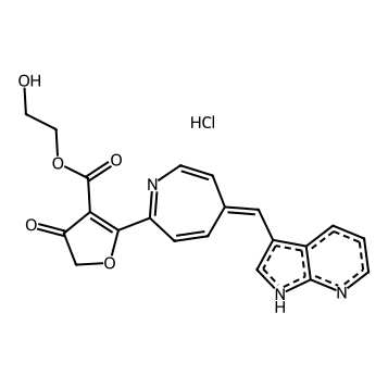 Cl.O=C1COC(C2=NC=CC(=Cc3c[nH]c4ncccc34)C=C2)=C1C(=O)OCCO